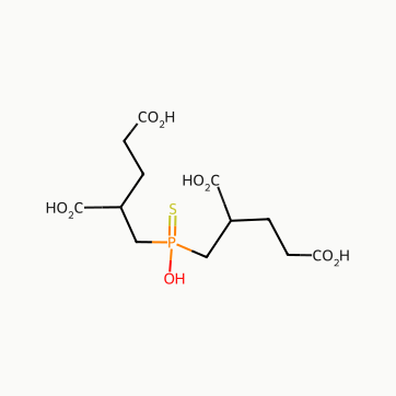 O=C(O)CCC(CP(O)(=S)CC(CCC(=O)O)C(=O)O)C(=O)O